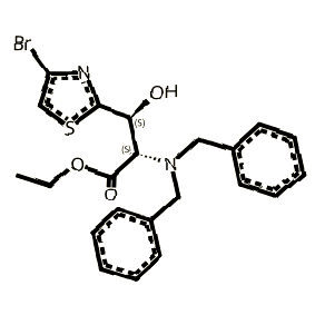 CCOC(=O)[C@H]([C@H](O)c1nc(Br)cs1)N(Cc1ccccc1)Cc1ccccc1